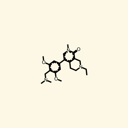 CCN1CCc2c(-c3cc(OC)c(CN(C)C)c(OC)c3)cn(C)c(=O)c2C1